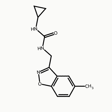 Cc1ccc2onc(CNC(=O)NC3CC3)c2c1